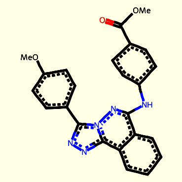 COC(=O)c1ccc(Nc2nn3c(-c4ccc(OC)cc4)nnc3c3ccccc23)cc1